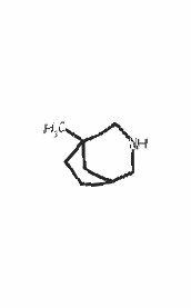 CC12CCC(CNC1)C2